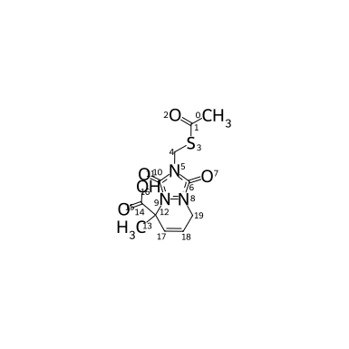 CC(=O)SCn1c(=O)n2n(c1=O)C(C)(C(=O)O)C=CC2